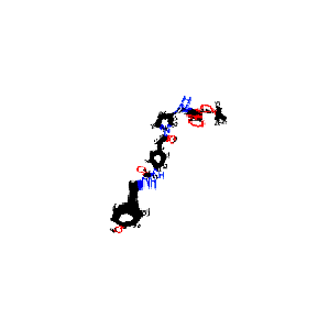 COc1ccc(CNC(=O)Nc2ccc(CC(=O)N3CC[C@@H](NC(=O)OC(C)(C)C)C3)cc2)cc1